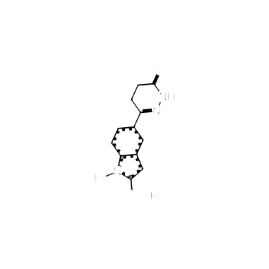 CCn1c(C(=O)O)cc2cc(C3=NNC(=O)CC3)ccc21